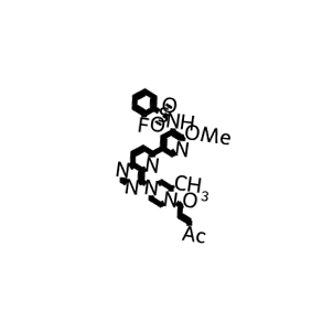 COc1ncc(-c2ccc3ncnc(N4CCN(C(=O)/C=C/C(C)=O)[C@H](C)C4)c3n2)cc1NS(=O)(=O)c1ccccc1F